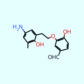 Cc1cc(N)cc(CCOc2cc(C=O)ccc2O)c1O